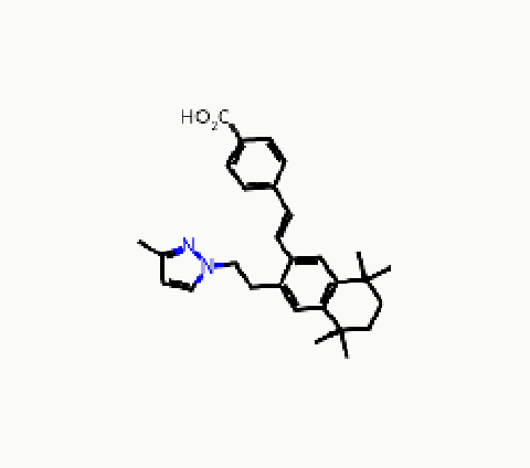 Cc1ccn(CCc2cc3c(cc2C=Cc2ccc(C(=O)O)cc2)C(C)(C)CCC3(C)C)n1